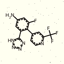 Nc1cc(F)c(-c2ccnc(C(F)(F)F)c2)c(-c2nnn[nH]2)c1